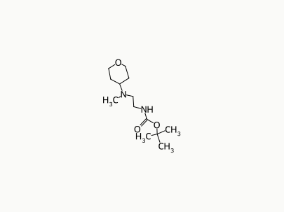 CN(CCNC(=O)OC(C)(C)C)C1CCOCC1